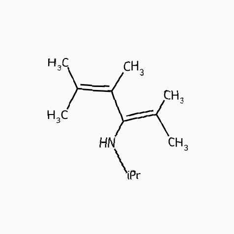 CC(C)=C(C)C(NC(C)C)=C(C)C